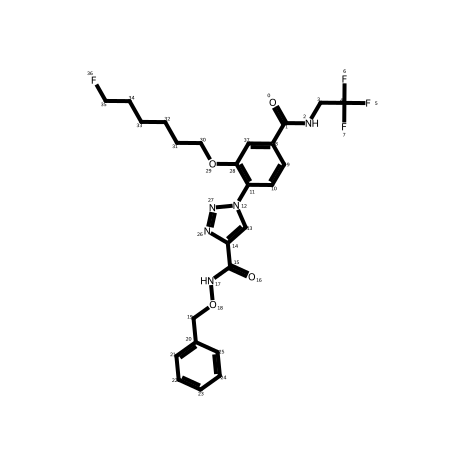 O=C(NCC(F)(F)F)c1ccc(-n2cc(C(=O)NOCc3ccccc3)nn2)c(OCCCCCCF)c1